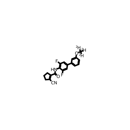 [2H]C([2H])([2H])Oc1cccc(-c2cc(F)c(NC(=O)C3=C(C#N)CCC3)c(F)c2)c1